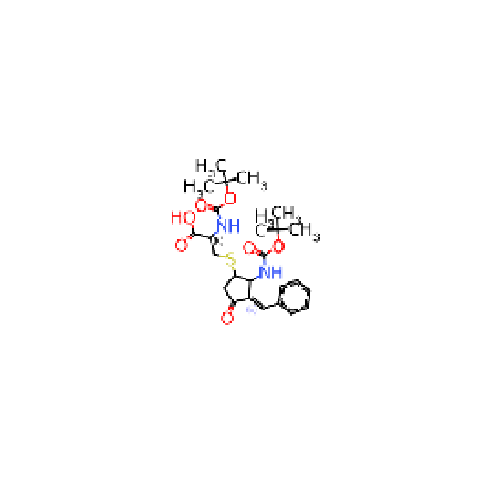 CC(C)(C)OC(=O)NC1/C(=C\c2ccccc2)C(=O)CC1SC[C@H](NC(=O)OC(C)(C)C)C(=O)O